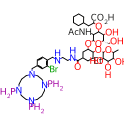 CC[C@@H]1CC(C(=O)NCCNCc2ccc(CN3CCCN(P)CCN(P)CCCN(P)CC3)cc2Br)C[C@@H](O[C@@H]2O[C@@H](CO)[C@H](O)C(OC(CC3CCCCC3)C(=O)O)C2NC(C)=O)C1O[C@@H]1OC(C)[C@@H](O)C(O)[C@@H]1O